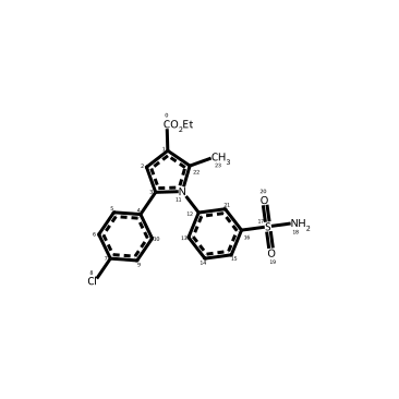 CCOC(=O)c1cc(-c2ccc(Cl)cc2)n(-c2cccc(S(N)(=O)=O)c2)c1C